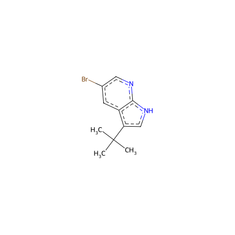 CC(C)(C)c1c[nH]c2ncc(Br)cc12